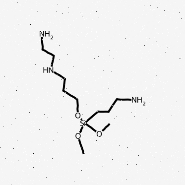 CO[Si](CCCN)(OC)OCCCNCCN